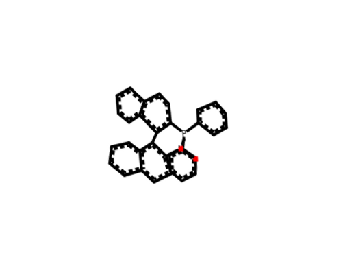 CN(C)c1ccc2ccccc2c1-c1c(P(c2ccccc2)c2ccccc2)ccc2ccccc12